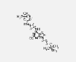 CC(C)(C)OC(=O)N[C@H]1C[C@H](Nc2nc(Cl)nc3c2ccn3COCC[Si](C)(C)C)C1